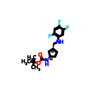 CC(C)(C)OC(=O)N[C@H]1CC[C@@H](CNc2cc(F)c(F)cc2F)C1